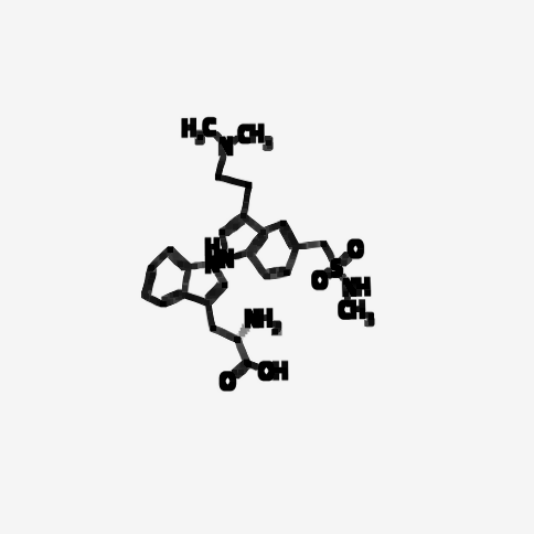 CNS(=O)(=O)Cc1ccc2[nH]cc(CCN(C)C)c2c1.N[C@@H](Cc1c[nH]c2ccccc12)C(=O)O